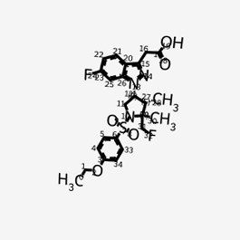 CCOc1ccc(S(=O)(=O)N2C[C@H](n3nc(CC(=O)O)c4ccc(F)cc43)[C@H](C)[C@]2(C)CF)cc1